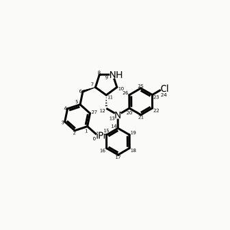 CC(C)c1cccc(C[C@H]2CNC[C@@H]2CN(c2ccccc2)c2ccc(Cl)cc2)c1